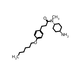 CCCCCCOc1ccc(CCC(=O)N(C)[C@H]2CC[C@H](N)CC2)cc1